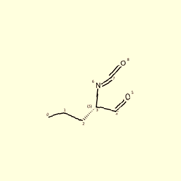 CCC[C@@H]([C]=O)N=C=O